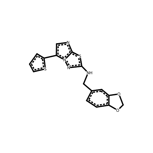 c1csc(-c2cnc3sc(NCc4ccc5c(c4)OCO5)nn23)c1